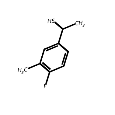 Cc1cc(C(C)S)ccc1F